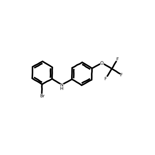 FC(F)(F)Oc1ccc(Nc2ccccc2Br)cc1